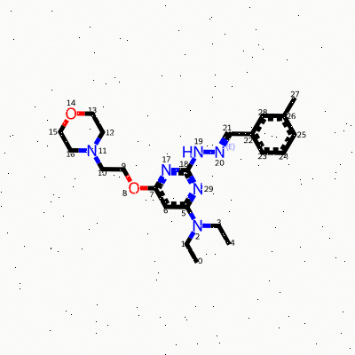 CCN(CC)c1cc(OCCN2CCOCC2)nc(N/N=C/c2cccc(C)c2)n1